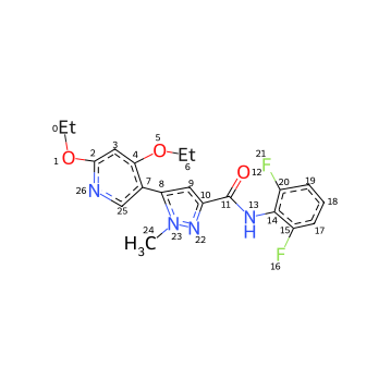 CCOc1cc(OCC)c(-c2cc(C(=O)Nc3c(F)cccc3F)nn2C)cn1